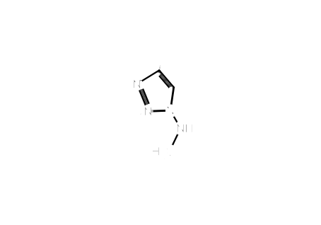 CNn1c[c]nn1